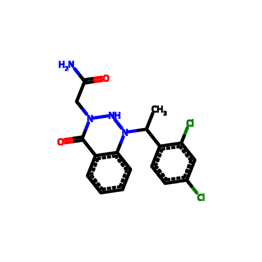 CC(c1ccc(Cl)cc1Cl)N1NN(CC(N)=O)C(=O)c2ccccc21